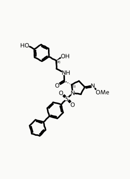 CON=C1C[C@@H](C(=O)NC[C@H](O)c2ccc(O)cc2)N(S(=O)(=O)c2ccc(-c3ccccc3)cc2)C1